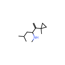 C=C(C(CC(C)C)NC)C1(C)CC1